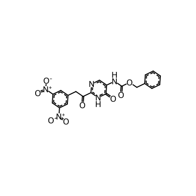 O=C(Nc1cnc(C(=O)Cc2cc([N+](=O)[O-])cc([N+](=O)[O-])c2)[nH]c1=O)OCc1ccccc1